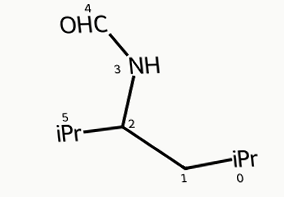 CC(C)CC(NC=O)C(C)C